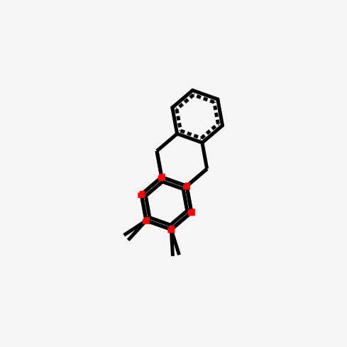 Cc1cc2c(cc1C)C1c3ccccc3C2c2cc(C)c(C)cc21